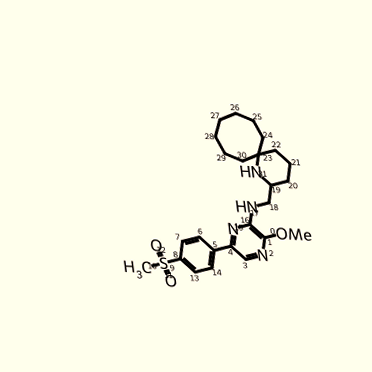 COc1ncc(-c2ccc(S(C)(=O)=O)cc2)nc1NCC1CCCC2(CCCCCCC2)N1